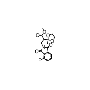 COC(=O)C(CN1C(=O)c2cccc(F)c2C1=O)C1(C)OCCO1